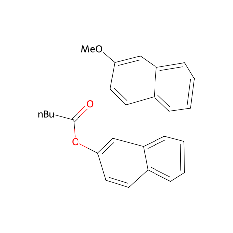 CCCCC(=O)Oc1ccc2ccccc2c1.COc1ccc2ccccc2c1